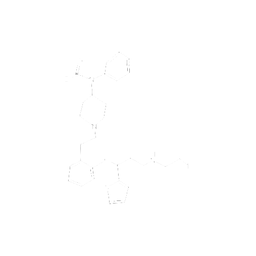 CCC(=O)N(c1ccccc1)C1CCN(CCc2ccccc2OC(CCNCCF)c2cccs2)CC1